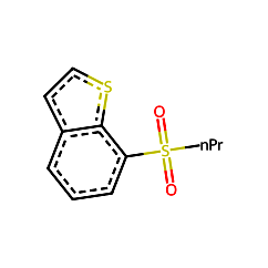 CCCS(=O)(=O)c1cccc2ccsc12